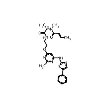 CC=CC(=O)N(C)[C@@H](C)C(=O)NCCOc1cc(Nc2ncc(-c3ccccc3)s2)nc(C)n1